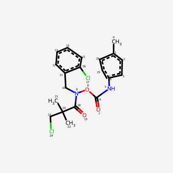 Cc1ccc(NC(=O)ON(Cc2ccccc2Cl)C(=O)C(C)(C)CCl)cc1